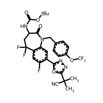 CC(C)(C)OC(=O)NC1CC(F)(F)c2cc(F)c(-c3nnc(C(C)(C)C#N)o3)cc2N(Cc2ccc(OC(F)(F)F)cc2)C1=O